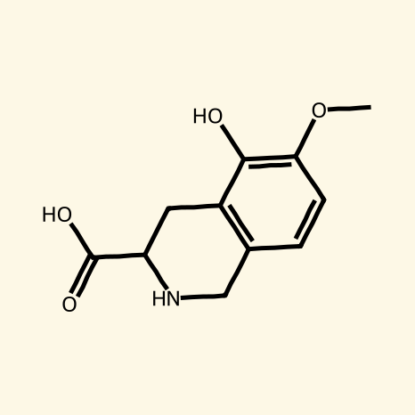 COc1ccc2c(c1O)CC(C(=O)O)NC2